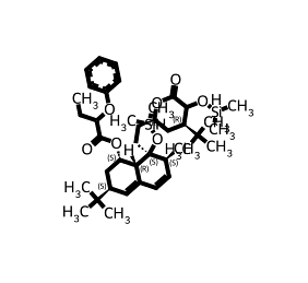 CCC(Oc1ccccc1)C(=O)O[C@H]1C[C@H](C(C)(C)C)C=C2C=C[C@H](C)[C@](CC[C@@H]3C[C@H](C(C)(C)C)C(O[SiH](C)C)C(=O)O3)(O[SiH](C)C)[C@H]21